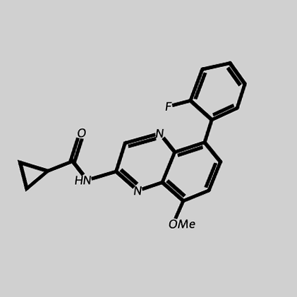 COc1ccc(-c2ccccc2F)c2ncc(NC(=O)C3CC3)nc12